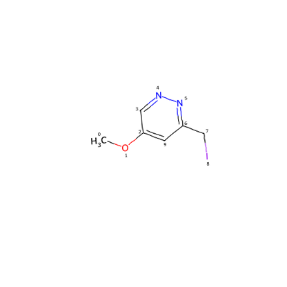 COc1cnnc(CI)c1